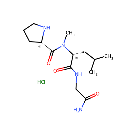 CC(C)C[C@H](C(=O)NCC(N)=O)N(C)C(=O)[C@@H]1CCCN1.Cl